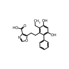 CCc1c(O)cc(O)c(-c2ccccc2)c1CCc1ocnc1C(=O)O